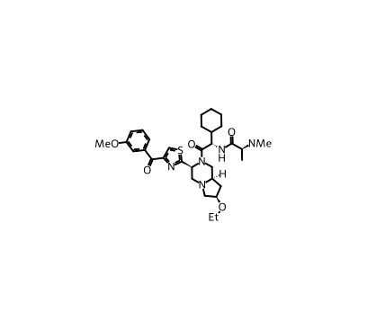 CCO[C@@H]1C[C@@H]2CN(C(=O)[C@@H](NC(=O)[C@H](C)NC)C3CCCCC3)[C@H](c3nc(C(=O)c4cccc(OC)c4)cs3)CN2C1